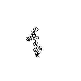 CC(C)(C)OC(=O)N1CCC[C@@H](C(O[Si](C)(C)C(C)(C)C)c2ncc(CCc3c(Cl)cc4c(cnn4C4CCCCO4)c3B3OC(C)(C)C(C)(C)O3)o2)C1